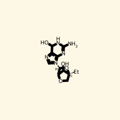 CC[C@]12COC(C1O)[C@H](n1cnc3c1N=C(N)NC3O)O2